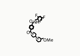 COCC1CCCN(C2CCN(C(=O)c3ccc(C(=O)NCc4ncc(F)cc4F)cc3)CC2)C1